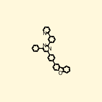 c1ccc(-c2cc(-c3ccc(-c4ccc5oc6ccccc6c5c4)cc3)nc(-c3cccc(-c4ccccn4)c3)n2)cc1